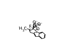 CCCC1=Cc2ccccc2S1(O[Cl+3]([O-])([O-])[O-])C(F)(F)F